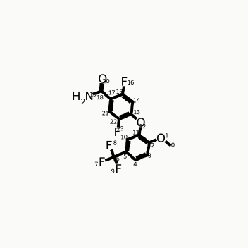 COc1ccc(C(F)(F)F)cc1Oc1cc(F)c(C(N)=O)cc1F